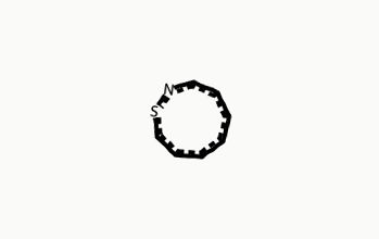 c1cccnsccc1